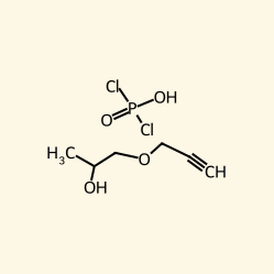 C#CCOCC(C)O.O=P(O)(Cl)Cl